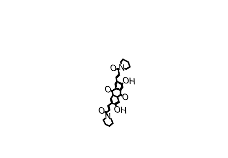 O=C1c2cc(O)c(/C=C/C(=O)N3CCCCC3)cc2C(=O)C2C=C(/C=C/C(=O)N3CCCCC3)C(O)=CC12